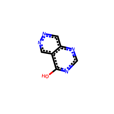 Oc1ncnc2cnncc12